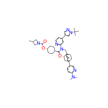 CC1CN(C(=O)O[C@H]2CC[C@H](C(=O)N(CC34CCC(c5ccc(N(C)C)nc5)(CC3)CC4)c3cc(-c4cnn(C(C)(C)C)c4)ccn3)CC2)C1